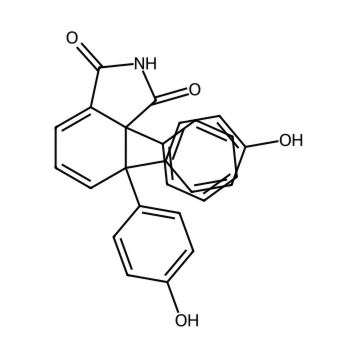 O=C1NC(=O)C2(c3ccccc3)C1=CC=CC2(c1ccc(O)cc1)c1ccc(O)cc1